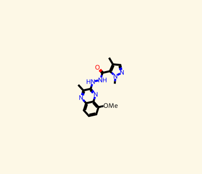 COc1cccc2nc(C)c(NNC(=O)c3c(C)cnn3C)nc12